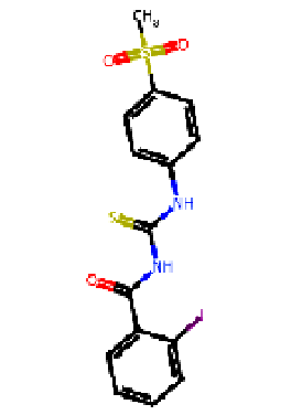 CS(=O)(=O)c1ccc(NC(=S)NC(=O)c2ccccc2I)cc1